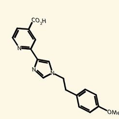 COc1ccc(CCn2cnc(-c3cc(C(=O)O)ccn3)c2)cc1